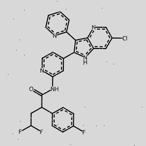 O=C(Nc1cc(-c2[nH]c3cc(Cl)cnc3c2-c2ccccn2)ccn1)C(CC(F)F)c1ccc(F)cc1